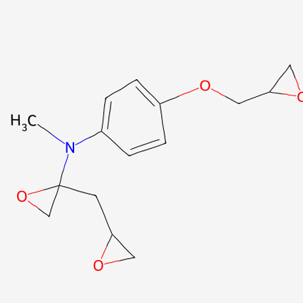 CN(c1ccc(OCC2CO2)cc1)C1(CC2CO2)CO1